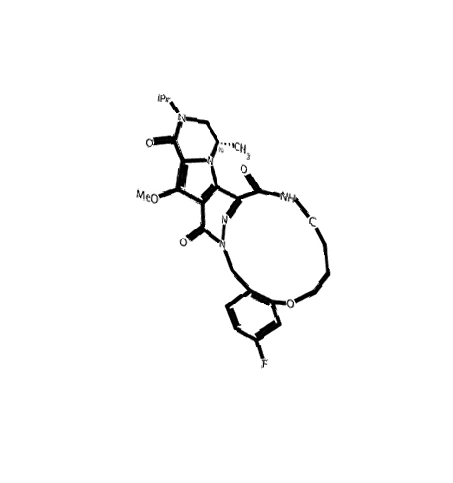 COc1c2n(c3c4nn(c(=O)c13)Cc1ccc(F)cc1OCCCCCNC4=O)[C@@H](C)CN(C(C)C)C2=O